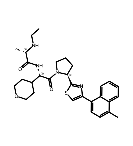 CCN[C@@H](C)C(=O)N[C@H](C(=O)N1CCC[C@H]1c1nc(-c2ccc(C)c3ccccc23)cs1)C1CCOCC1